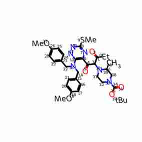 CCC(=O)C(C(=O)c1nc(SC)nnc1N(Cc1ccc(OC)cc1)Cc1ccc(OC)cc1)N1CCN(C(=O)OC(C)(C)C)C[C@@H]1C